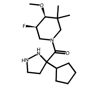 CO[C@@H]1[C@H](F)CN(C(=O)C2(C3CCCC3)CCNN2)CC1(C)C